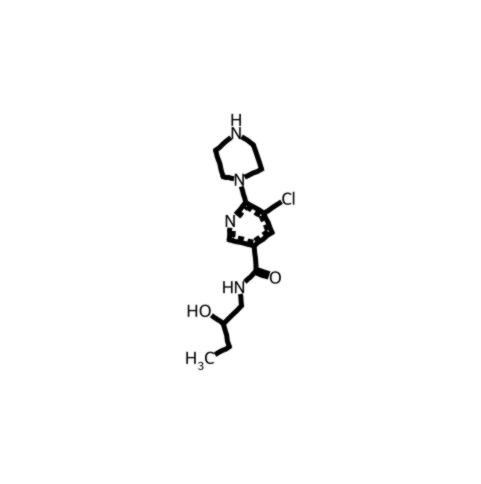 CCC(O)CNC(=O)c1cnc(N2CCNCC2)c(Cl)c1